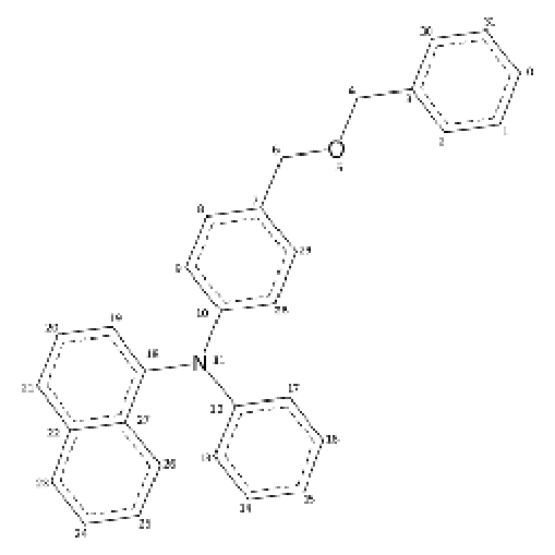 c1ccc(COCc2ccc(N(c3ccccc3)c3cccc4ccccc34)cc2)cc1